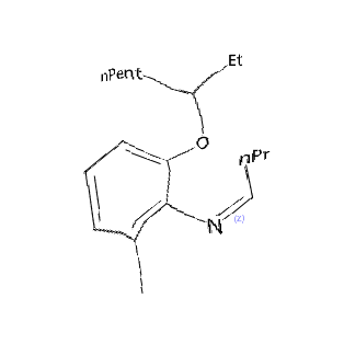 CCC/C=N\c1c(C)cccc1OC(CC)CCCCC